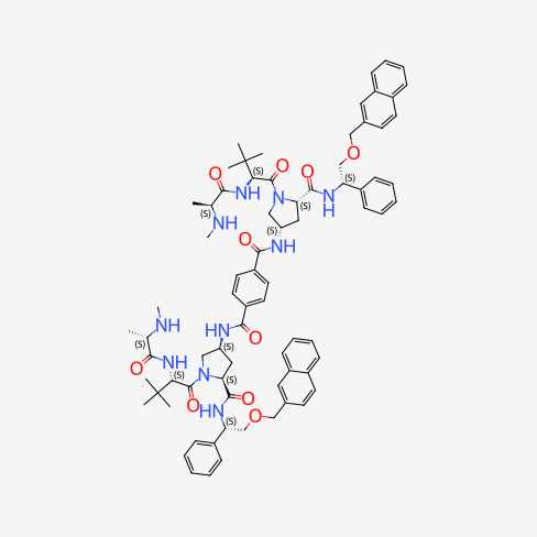 CN[C@@H](C)C(=O)N[C@H](C(=O)N1C[C@@H](NC(=O)c2ccc(C(=O)N[C@H]3C[C@@H](C(=O)N[C@H](COCc4ccc5ccccc5c4)c4ccccc4)N(C(=O)[C@@H](NC(=O)[C@H](C)NC)C(C)(C)C)C3)cc2)C[C@H]1C(=O)N[C@H](COCc1ccc2ccccc2c1)c1ccccc1)C(C)(C)C